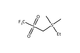 CCS(C)(C)CS(=O)(=O)C(F)(F)F